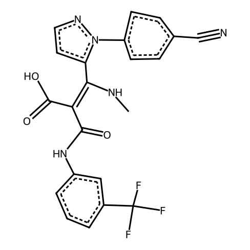 CN/C(=C(/C(=O)O)C(=O)Nc1cccc(C(F)(F)F)c1)c1ccnn1-c1ccc(C#N)cc1